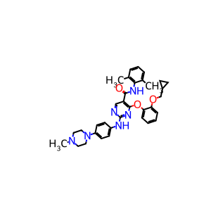 Cc1cccc(C)c1NC(=O)c1cnc(Nc2ccc(N3CCN(C)CC3)cc2)nc1Oc1ccccc1OCC1CC1